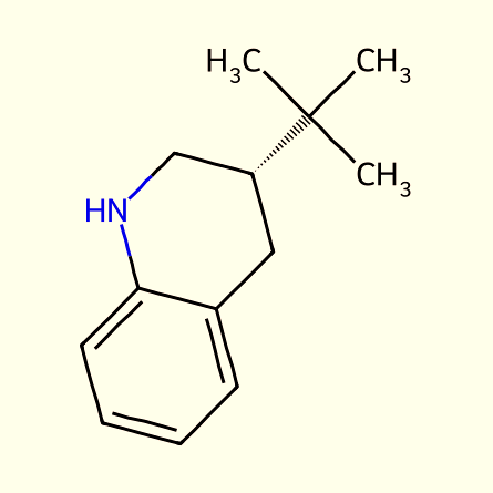 CC(C)(C)[C@H]1CNc2ccccc2C1